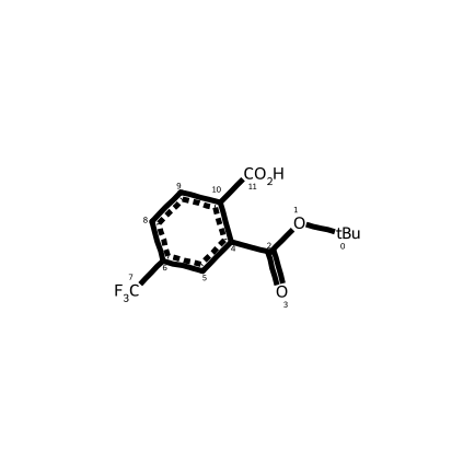 CC(C)(C)OC(=O)c1cc(C(F)(F)F)ccc1C(=O)O